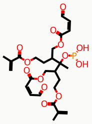 C=C(C)C(=O)OCCC(COC(=O)/C=C\C=O)C(C)(OP(O)O)C(CCOC(=O)C(=C)C)COC(=O)/C=C\C=O